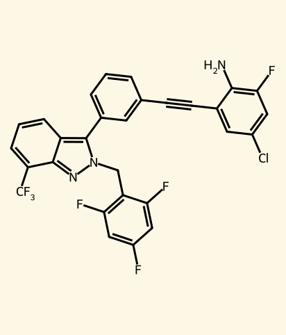 Nc1c(F)cc(Cl)cc1C#Cc1cccc(-c2c3cccc(C(F)(F)F)c3nn2Cc2c(F)cc(F)cc2F)c1